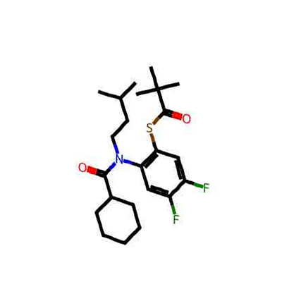 CC(C)CCN(C(=O)C1CCCCC1)c1cc(F)c(F)cc1SC(=O)C(C)(C)C